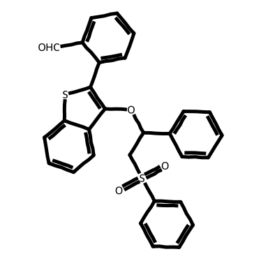 O=Cc1ccccc1-c1sc2ccccc2c1OC(CS(=O)(=O)c1ccccc1)c1ccccc1